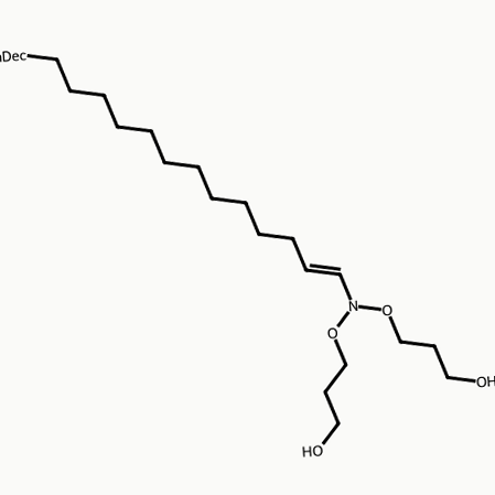 CCCCCCCCCCCCCCCCCCCCCC=CN(OCCCO)OCCCO